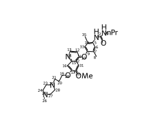 CCCNC(=O)Nc1cc(C)c(Oc2ccnc3cc(OCCCN4CCN(C)CC4)c(OC)cc23)cc1C